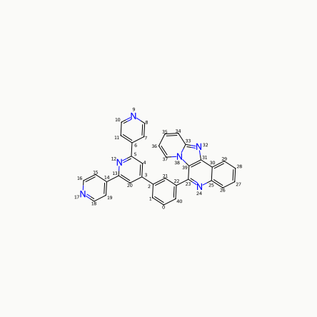 c1cc(-c2cc(-c3ccncc3)nc(-c3ccncc3)c2)cc(-c2nc3ccccc3c3nc4ccccn4c23)c1